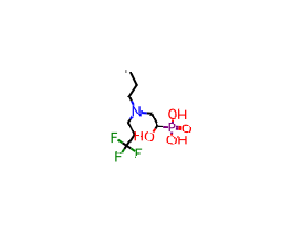 [CH2]CCN(CCC(F)(F)F)CC(O)P(=O)(O)O